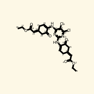 CCOC(=O)C=C1CC=C(Nc2nc(Cl)c(Cl)c(NC3=CCC(=CC(=O)OCC)CC3=O)n2)C(=O)C1